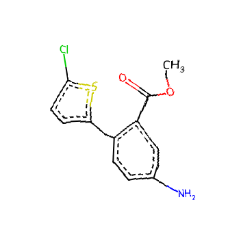 COC(=O)c1cc(N)ccc1-c1ccc(Cl)s1